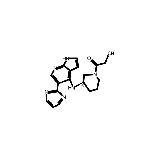 N#CCC(=O)N1CCC[C@@H](Nc2c(-c3ncccn3)cnc3[nH]ccc23)C1